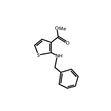 COC(=O)c1ccsc1NCc1ccccc1